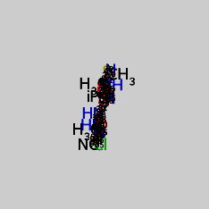 Cc1ncsc1-c1ccc([C@H](C)NC(=O)C2CCCN2C(=O)C(c2oncc2OCCCCCNc2ccc(C(=O)N[C@@H](C)Cn3ccc(-c4ccc(C#N)c(Cl)c4)n3)cc2)C(C)C)cc1